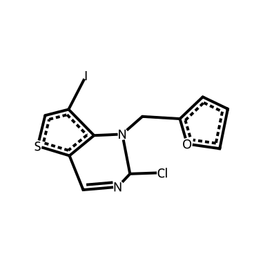 ClC1N=Cc2scc(I)c2N1Cc1ccco1